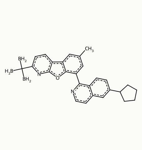 BC(B)(B)c1ccc2c(n1)oc1c(-c3nccc4cc(C5CCCC5)ccc34)cc(C)cc12